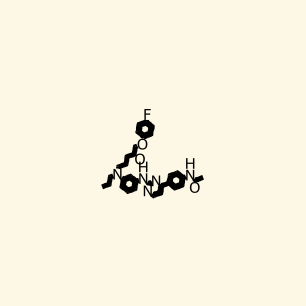 CCCN(CCCC(=O)COc1ccc(F)cc1)c1cccc(Nc2nccc(-c3ccc(NC(C)=O)cc3)n2)c1